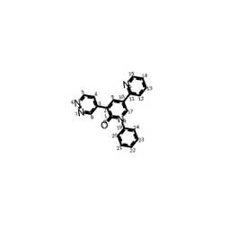 O=c1c(-c2ccnnc2)cc(-c2ccccn2)cn1-c1ccccc1